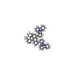 CC1(C)c2ccccc2-c2c(-c3c4cccc(-c5cccc6c5c5cccc7c8ccccc8n6c75)c4cc4c(-c5cccc6c5c5cccc7c8ccccc8n6c75)cccc34)cccc21